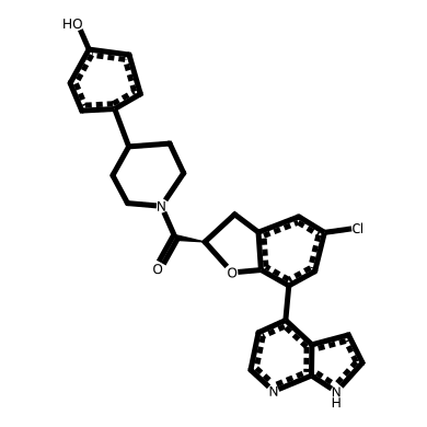 O=C([C@H]1Cc2cc(Cl)cc(-c3ccnc4[nH]ccc34)c2O1)N1CCC(c2ccc(O)cc2)CC1